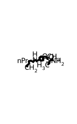 C=CCC(CCC)CCNCc1ccc(OC(C)S/C(=C\C)C(N)=O)cc1